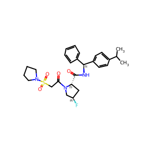 CC(C)c1ccc([C@@H](NC(=O)[C@@H]2C[C@@H](F)CN2C(=O)CS(=O)(=O)N2CCCC2)c2ccccc2)cc1